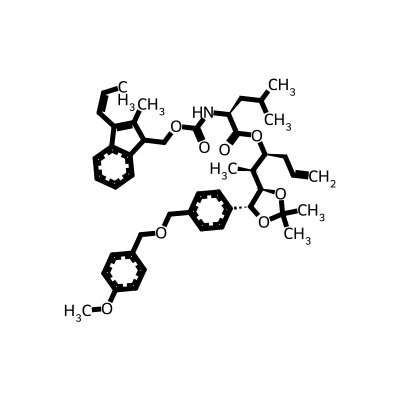 C=CC[C@H](OC(=O)[C@H](CC(C)C)NC(=O)OCC1C(C)=C(/C=C\C)c2ccccc21)[C@H](C)[C@H]1OC(C)(C)O[C@@H]1c1ccc(COCc2ccc(OC)cc2)cc1